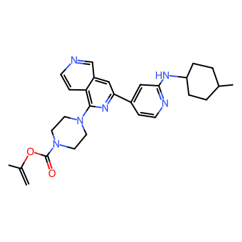 C=C(C)OC(=O)N1CCN(c2nc(-c3ccnc(NC4CCC(C)CC4)c3)cc3cnccc23)CC1